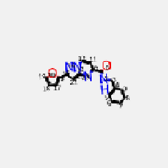 O=C(NCc1ccccc1)c1ccn2nc(-c3ccco3)cc2n1